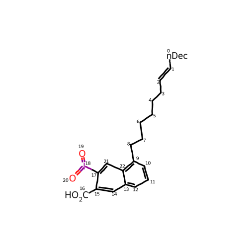 CCCCCCCCCC/C=C/CCCCCCc1cccc2cc(C(=O)O)c(I(=O)=O)cc12